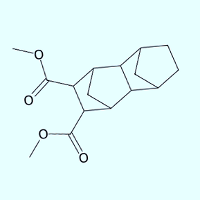 COC(=O)C1C2CC(C1C(=O)OC)C1C3CCC(C3)C21